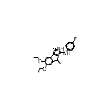 CCOc1cc2c(cc1OCC)C(C)c1c-2n[nH]c1Nc1ccc(F)cc1